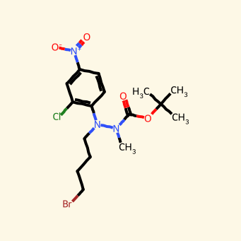 CN(C(=O)OC(C)(C)C)N(CCCCBr)c1ccc([N+](=O)[O-])cc1Cl